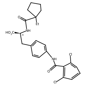 CCC1(C(=O)N[C@@H](Cc2ccc(NC(=O)c3c(Cl)cccc3Cl)cc2)C(=O)O)CCCC1